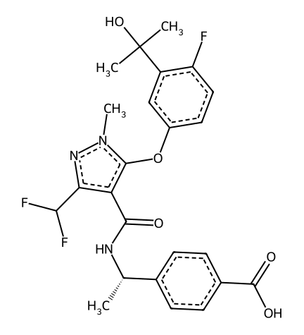 C[C@H](NC(=O)c1c(C(F)F)nn(C)c1Oc1ccc(F)c(C(C)(C)O)c1)c1ccc(C(=O)O)cc1